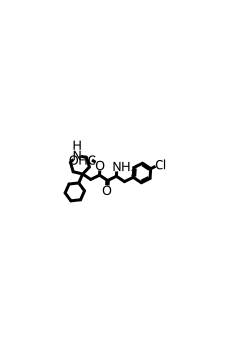 NC(Cc1ccc(Cl)cc1)C(=O)C(CC1(C2CCCCC2)CCNCC1)OC=O